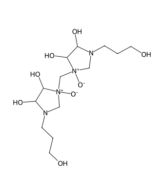 [O-][N+]1(C[N+]2([O-])CN(CCCO)C(O)C2O)CN(CCCO)C(O)C1O